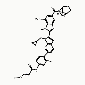 CCO/C=C/C(=O)Nc1ccc(-c2ccc3cc(-c4nc5cc(C(=O)N6CC7CCC6[C@@H]7N)cc(OC)c5n4C)n(CC4CC4)c3n2)c(C)c1